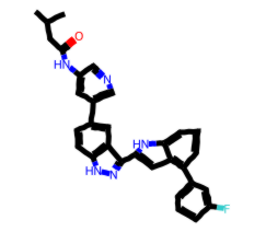 CC(C)CC(=O)Nc1cncc(-c2ccc3[nH]nc(-c4cc5c(-c6cccc(F)c6)cccc5[nH]4)c3c2)c1